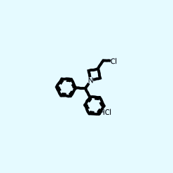 Cl.ClCC1CN(C(c2ccccc2)c2ccccc2)C1